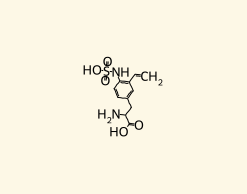 C=Cc1cc(CC(N)C(=O)O)ccc1NS(=O)(=O)O